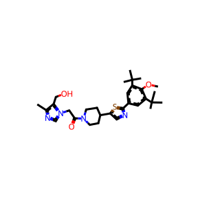 COc1c(C(C)(C)C)cc(-c2ncc(C3CCN(C(=O)Cn4cnc(C)c4CO)CC3)s2)cc1C(C)(C)C